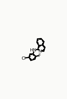 Fc1ccc(Cl)cc1Nc1nccc2ccccc12